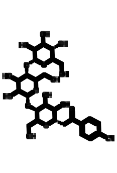 N#Cc1ccc(C(=O)C[C@@H]2OC(CO)[C@@H](O[C@H]3OC(CO)[C@@H](O[C@H]4OC(CO)[C@@H](O)C(O)C4O)C(O)C3O)C(O)C2O)cc1